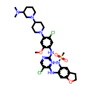 COc1cc(N2CCC(N3CCCC(N(C)C)C3)CC2)c(Cl)cc1Nc1ncc(Cl)c(Nc2cc3c(cc2NS(C)(=O)=O)CCO3)n1